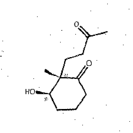 CC(=O)CC[C@]1(C)C(=O)CCC[C@H]1O